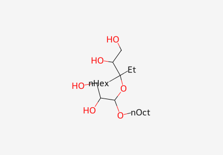 CCCCCCCCOC(OC(CC)(CCCCCC)C(O)CO)C(O)CO